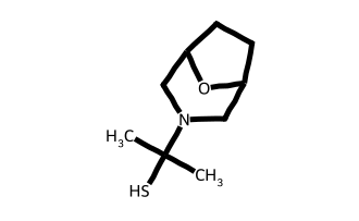 CC(C)(S)N1CC2CCC(C1)O2